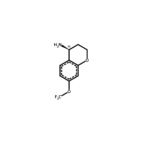 N[C@H]1CCOc2cc(OC(F)(F)F)ccc21